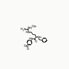 Cl.N=C(N)NCCCC(NCc1ccccc1)C(=O)Nc1ccc([N+](=O)[O-])cc1